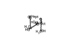 CC(O)CCCCCCCCOCc1ccccc1.CCCCCCCCC(CCCCCCCC)OC(=O)CCCCCCCN(CCO)C(C)CCCCCCCCOC(=O)CCCCCCC